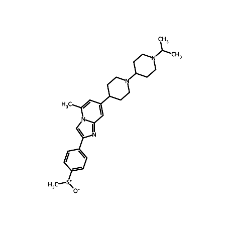 Cc1cc(C2CCN(C3CCN(C(C)C)CC3)CC2)cc2nc(-c3ccc([S+](C)[O-])cc3)cn12